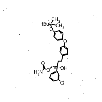 CC(C)(C)[Si](C)(C)Oc1ccc(Oc2ccc(CC[C@](O)(COC(N)=O)c3cccc(Cl)c3)cc2)cc1